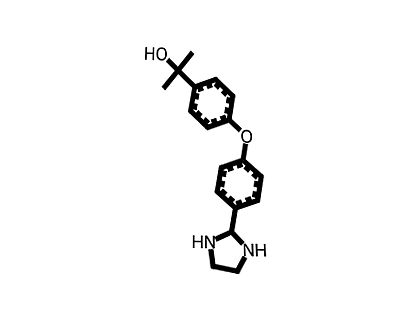 CC(C)(O)c1ccc(Oc2ccc(C3NCCN3)cc2)cc1